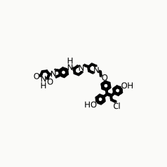 O=C1CCC(N2Cc3ccc(N[C@@H]4CCCN(CC5CCN(CCOc6ccc(C(=C(CCCl)c7ccc(O)cc7)c7ccc(O)cc7)cc6)CC5)C4)cc3C2)C(=O)N1